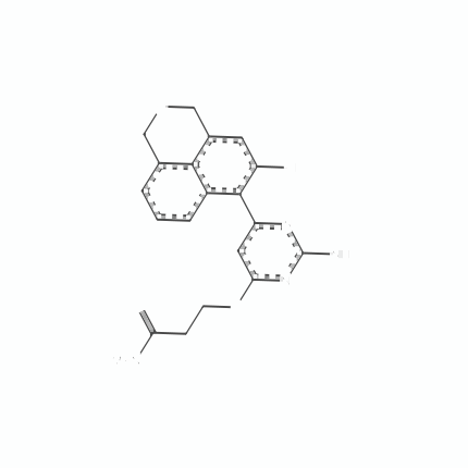 CNC(=O)CCSc1cc(-c2c(Cl)cc3c4c(cccc24)COC3)nc(N)n1